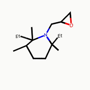 CCC1(C)CCC(C)C(C)(CC)N1CC1CO1